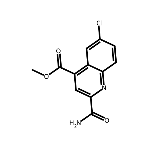 COC(=O)c1cc(C(N)=O)nc2ccc(Cl)cc12